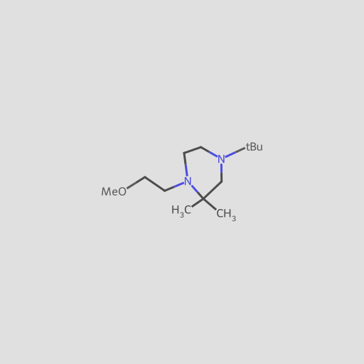 COCCN1CCN(C(C)(C)C)CC1(C)C